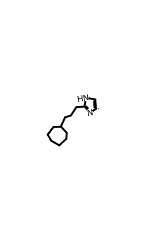 [c]1c[nH]c(CCCC2CCCCCC2)n1